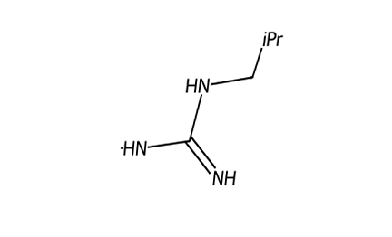 CC(C)CNC([NH])=N